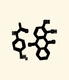 CC(=O)Nc1ccc(N)cc1.O=C1c2ccccc2C(=O)c2c1ccc(O)c2O